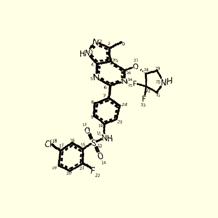 Cc1n[nH]c2nc(-c3ccc(NS(=O)(=O)c4cc(Cl)ccc4F)cc3)nc(O[C@@H]3CNCC3(F)F)c12